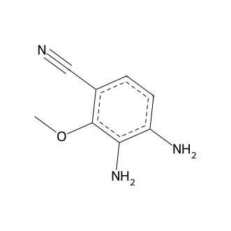 COc1c(C#N)ccc(N)c1N